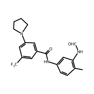 Cc1ccc(NC(=O)c2cc(N3CCCC3)cc(C(F)(F)F)c2)cc1NC=O